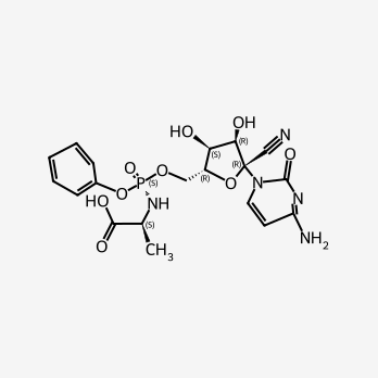 C[C@H](N[P@](=O)(OC[C@H]1O[C@@](C#N)(n2ccc(N)nc2=O)[C@H](O)[C@@H]1O)Oc1ccccc1)C(=O)O